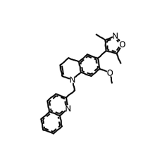 COc1cc2c(cc1-c1c(C)noc1C)CC=CN2Cc1ccc2ccccc2n1